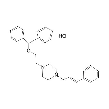 C(=C\c1ccccc1)/CN1CCN(CCOC(c2ccccc2)c2ccccc2)CC1.Cl